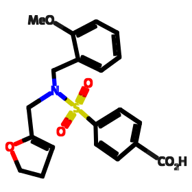 COc1ccccc1CN(CC1=CCCO1)S(=O)(=O)c1ccc(C(=O)O)cc1